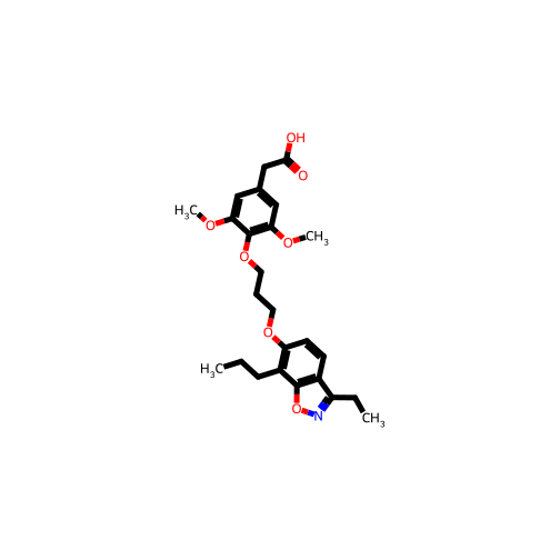 CCCc1c(OCCCOc2c(OC)cc(CC(=O)O)cc2OC)ccc2c(CC)noc12